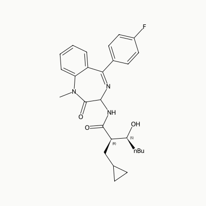 CCCC[C@H](O)[C@@H](CC1CC1)C(=O)NC1N=C(c2ccc(F)cc2)c2ccccc2N(C)C1=O